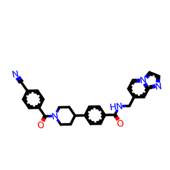 N#Cc1ccc(C(=O)N2CCC(c3ccc(C(=O)NCc4ccn5ccnc5c4)cc3)CC2)cc1